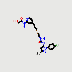 CC(C)(C)c1cc(NC(=O)NCCSCCCc2ccnc(NC(=O)CO)c2)n(-c2ccc(Cl)cc2)n1